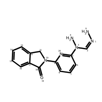 N/N=C\N(N)c1cccc(N2Cc3ccccc3C2=O)n1